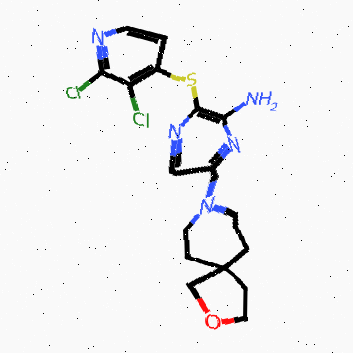 Nc1nc(N2CCC3(CCOC3)CC2)cnc1Sc1ccnc(Cl)c1Cl